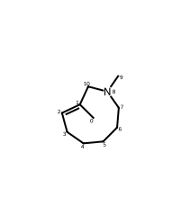 C/C1=C\CCCCCN(C)C1